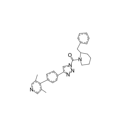 Cc1cncc(C)c1-c1ccc(-c2cn(C(=O)N3CCCCC3Cc3ccccc3)nn2)cc1